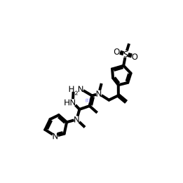 C=C(CN(C)/C(N)=C(\C)C(NC)N(C)c1cccnc1)c1ccc(S(C)(=O)=O)cc1